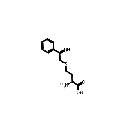 N=C(CSCC[C@H](N)C(=O)O)c1ccccc1